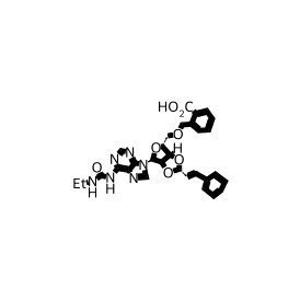 CCNC(=O)Nc1ncnc2c1ncn2[C@@H]1O[C@H](COCc2ccccc2C(=O)O)[C@@H]2O[C@H](/C=C/c3ccccc3)OC21